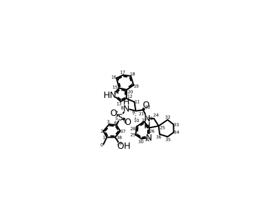 Cc1ccc(S(=O)(=O)N[C@@](C)(Cc2c[nH]c3ccccc23)C(=O)NCC2(c3ccccn3)CCCCC2)cc1O